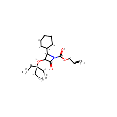 C=CCOC(=O)N1C(=O)C(O[Si](CC)(CC)CC)C1C1CCCCC1